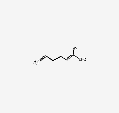 C=CCCC=C(C=O)C(C)C